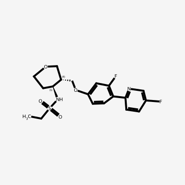 CCS(=O)(=O)N[C@H]1CCOC[C@@H]1COc1ccc(-c2ccc(F)cn2)c(F)c1